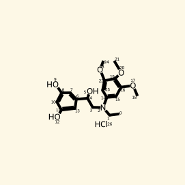 CCN(CC(O)c1cc(O)cc(O)c1)c1cc(OC)c(OC)c(OC)c1.Cl